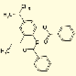 CCCc1cc(C(C)C)cc(OC(=O)c2ccccc2)c1OC(=O)c1ccccc1